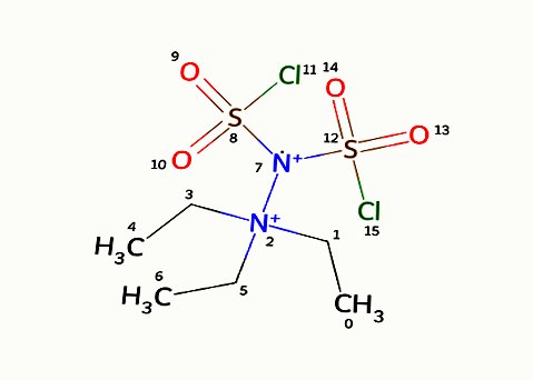 CC[N+](CC)(CC)[N+](S(=O)(=O)Cl)S(=O)(=O)Cl